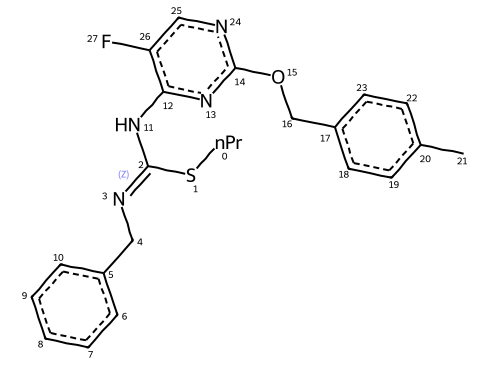 CCCS/C(=N\Cc1ccccc1)Nc1nc(OCc2ccc(C)cc2)ncc1F